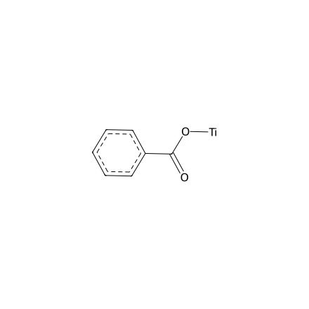 O=C([O][Ti])c1ccccc1